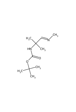 C/N=C/C(C)(C)NC(=O)OC(C)(C)C